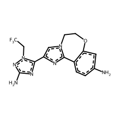 Nc1ccc2c(c1)OCCn1cc(-c3nc(N)nn3CC(F)(F)F)nc1-2